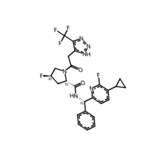 O=C(N[C@@H](c1ccccc1)c1ccc(C2CC2)c(F)n1)[C@@H]1C[C@@H](F)CN1C(=O)Cc1[nH]nnc1C(F)(F)F